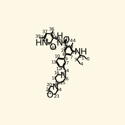 CCC(CC)Nc1cc(-c2cccc(CN3CCC(N4CCOCC4)CC3)c2)cc(C(=O)NCc2c(C)cc(C)[nH]c2=O)c1C